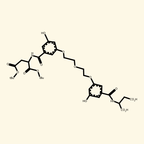 CC(C)(C)OC(=O)CC(NC(=O)c1cc(O)cc(OCCOCCOc2cc(O)cc(C(=O)NC(CC(=O)O)C(=O)O)c2)c1)C(=O)OC(C)(C)C